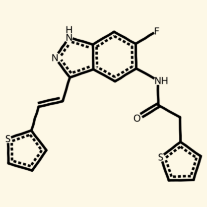 O=C(Cc1cccs1)Nc1cc2c(C=Cc3cccs3)n[nH]c2cc1F